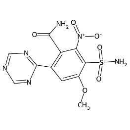 COc1cc(-c2ncncn2)c(C(N)=O)c([N+](=O)[O-])c1S(N)(=O)=O